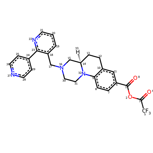 O=C(OC(=O)C(F)(F)F)c1ccc2c(c1)CC[C@@H]1CN(Cc3cccnc3-c3ccncc3)CCN21